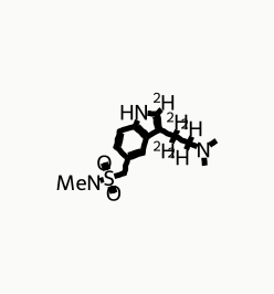 [2H]c1[nH]c2ccc(CS(=O)(=O)NC)cc2c1C([2H])([2H])C([2H])([2H])N(C)C